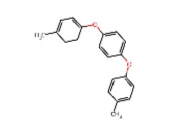 CC1=CC=C(Oc2ccc(Oc3ccc(C)cc3)cc2)CC1